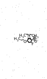 CCCOc1ccc([N+](=O)[O-])c(F)c1.CCNCC